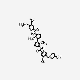 Cc1c(NC(=O)c2cc(C3CC3)c(CN)cn2)cccc1-c1cccc(NC(=O)c2cc(C3CC3)c(CN3CC[C@@H](O)C3)cn2)c1C